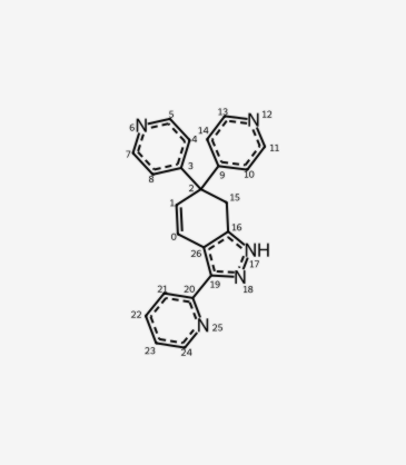 C1=CC(c2ccncc2)(c2ccncc2)Cc2[nH]nc(-c3ccccn3)c21